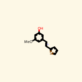 COc1cc(O)cc(/C=C/c2cccs2)c1